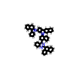 c1ccc2cc3c(cc2c1)c1ccc(-n2c4ccccc4c4c5ccccc5ccc42)cc1n3-c1ccc(-c2nc(-c3cc4ccccc4c4ccccc34)nc3ccccc23)c2ccccc12